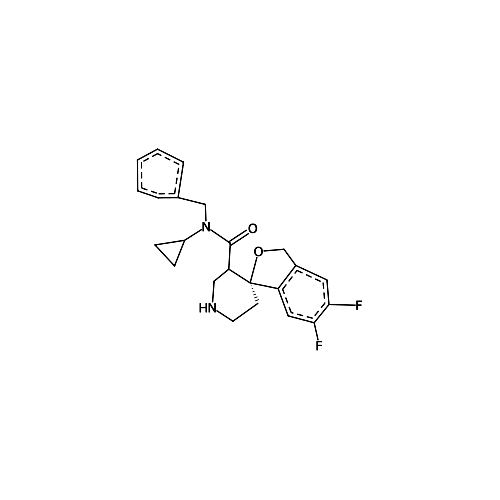 O=C(C1CNCC[C@@]12OCc1cc(F)c(F)cc12)N(Cc1ccccc1)C1CC1